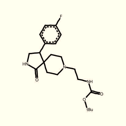 CC(C)(C)OC(=O)NCCN1CCC2(CC1)C(=O)NCC2c1ccc(F)cc1